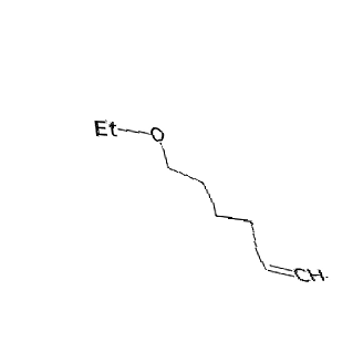 [CH]=CCCCCOCC